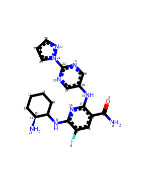 NC(=O)c1cc(F)c(NC2CCCC[C@@H]2N)nc1Nc1cnc(-n2cccn2)nc1